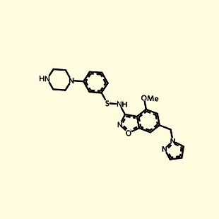 COc1cc(Cn2cccn2)cc2onc(NSc3cccc(N4CCNCC4)c3)c12